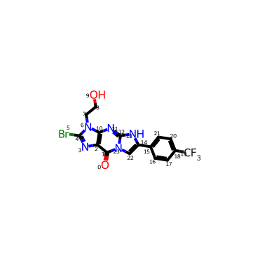 O=c1c2nc(Br)n(CCO)c2nc2[nH]c(-c3ccc(C(F)(F)F)cc3)cn12